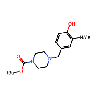 CNc1cc(CN2CCN(C(=O)OC(C)(C)C)CC2)ccc1O